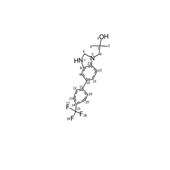 CC(C)(O)CN1CNc2cc(-c3ccc(C(F)(F)F)cc3)ccc21